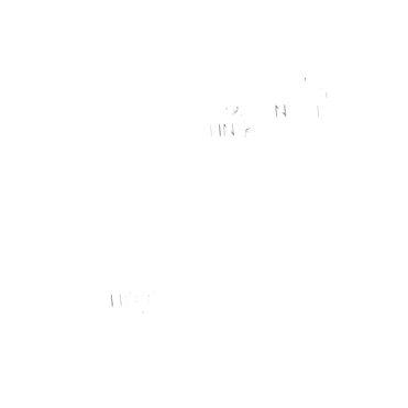 O=C(O)CCCCCCCCCCCCCNS(=O)(=O)CCN1CCC(O)(C(F)(F)F)CC1